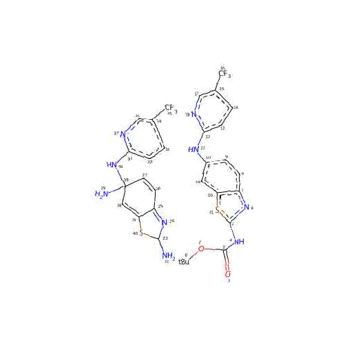 CC(C)(C)OC(=O)Nc1nc2ccc(Nc3ccc(C(F)(F)F)cn3)cc2s1.NC1N=C2C=CC(N)(Nc3ccc(C(F)(F)F)cn3)C=C2S1